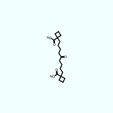 O=C(CCCCC1(C(=O)O)CCC1)CCCCC1(C(=O)O)CCC1